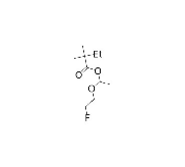 CCC(C)(C)C(=O)OC(C)OCCF